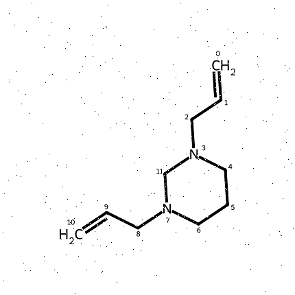 C=CCN1CCCN(CC=C)C1